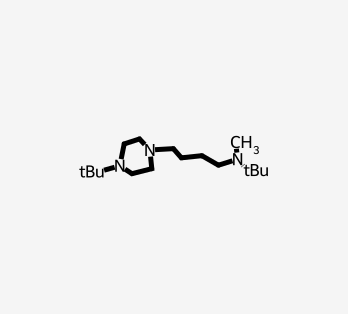 CN(CCCCN1CCN(C(C)(C)C)CC1)C(C)(C)C